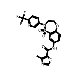 Cc1ncoc1C(=O)Nc1ccc2c(c1)S(=O)(=O)N(c1ccc(C(F)(F)F)nc1)CCO2